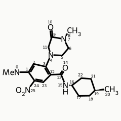 CNc1cc(N2CCN(C)C(=O)C2)c(C(=O)N[C@H]2CC[C@H](C)CC2)cc1[N+](=O)[O-]